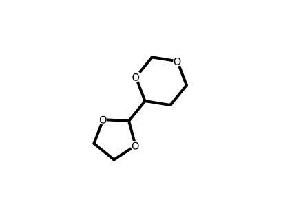 C1CC(C2OCCO2)OCO1